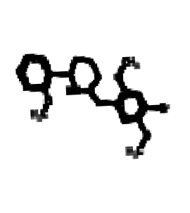 COc1cc(CC2CCCC(c3ccccc3OC)N2)c(OC)cc1Br